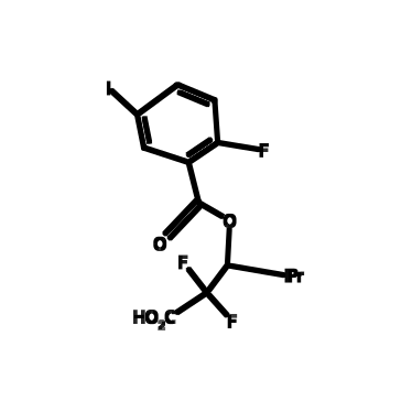 CC(C)C(OC(=O)c1cc(I)ccc1F)C(F)(F)C(=O)O